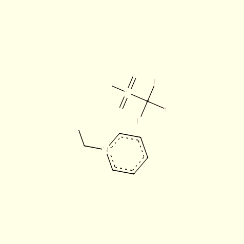 ClC[n+]1ccccc1.O=S(=O)([O-])C(F)(F)F